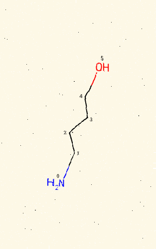 NC[CH]CCO